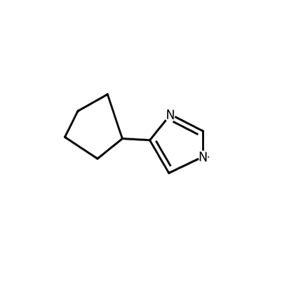 C1=NC(C2CCCC2)=C[N]1